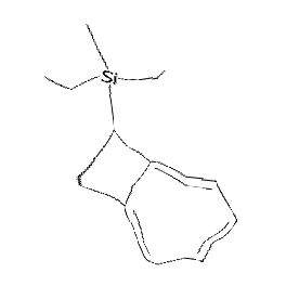 C[Si](C)(C)C1Cc2ccccc21